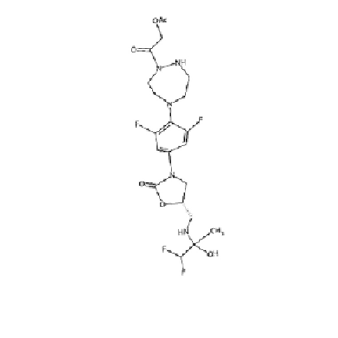 CC(=O)OCC(=O)N1CCN(c2c(F)cc(N3C[C@H](CNC(C)(O)C(F)F)OC3=O)cc2F)CCN1